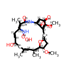 COC1=C2C[C@@H]3C[C@H](OC)[C@H](O3)[C@@H](C)/C=C(\C)C[C@@H](O)/C=C\C(NOO)=C(/C)C(=O)NC(=CC1=O)C2=O